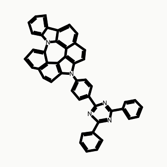 c1ccc(-c2nc(-c3ccccc3)nc(-c3ccc(-n4c5ccc6cccc7c6c5c5c6c(ccc8c9ccccc9n7c86)ccc54)cc3)n2)cc1